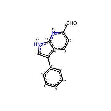 O=Cc1ccc2c(-c3ccccc3)c[nH]c2n1